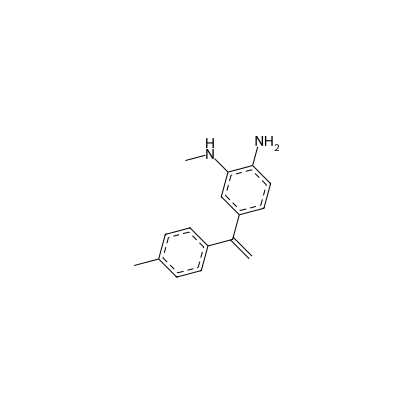 C=C(c1ccc(C)cc1)c1ccc(N)c(NC)c1